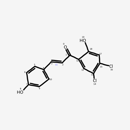 O=C(/C=C/c1ccc(O)cc1)c1cc(Cl)c(Cl)cc1O